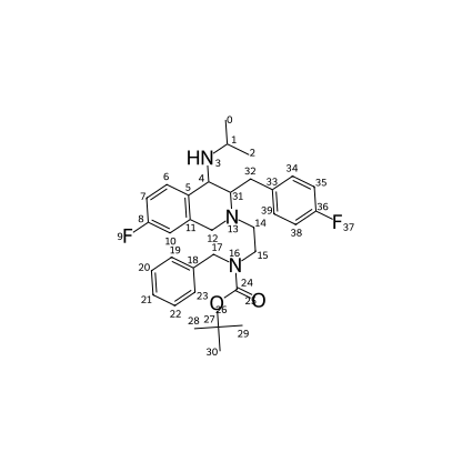 CC(C)NC1c2ccc(F)cc2CN(CCN(Cc2ccccc2)C(=O)OC(C)(C)C)C1Cc1ccc(F)cc1